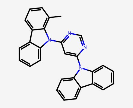 Cc1cccc2c3ccccc3n(-c3cc(-n4c5ccccc5c5ccccc54)ncn3)c12